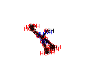 C#CC(=O)NCCCCCC(=O)NC(CCOCC(=O)NCCOCCOCCO[C@H]1OC(CO)[C@@H](O)C(O)[C@H]1O)(COCCC(=O)NCCOCCOCCO[C@H]1OC(CO)[C@@H](O)C(O)[C@H]1O)COCCC(=O)NCCOCCOCCO[C@H]1OC(CO)[C@@H](O)C(O)[C@H]1O